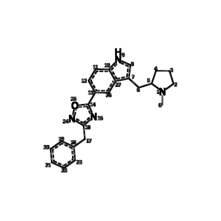 CN1CCCC1Cc1c[nH]c2ccc(-c3nc(Cc4ccccc4)no3)cc12